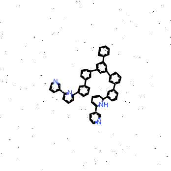 C1=CC(c2cccc(-c3cccc(-c4cc(-c5ccccc5)cc(-c5cccc(-c6cccc(-c7cccc(-c8cccnc8)n7)c6)c5)c4)c3)c2)NC(c2cccnc2)=C1